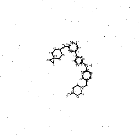 FC1CCN(Cc2ccc(Nc3ncc(-c4ccnc(OC5CCC6(CC5)CC6)n4)s3)nc2)CC1